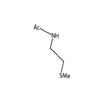 [CH2]C(=O)NCCSC